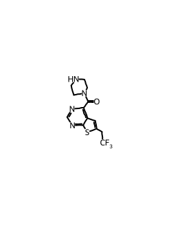 O=C(c1ncnc2sc(CC(F)(F)F)cc12)N1CCNCC1